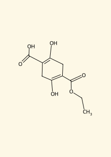 CCOC(=O)C1=C(O)CC(C(=O)O)=C(O)C1